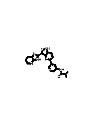 CC(C)C(=O)Nc1cncc(-c2ccc3[nH]nc(-c4nc5cccnc5[nH]4)c3n2)c1